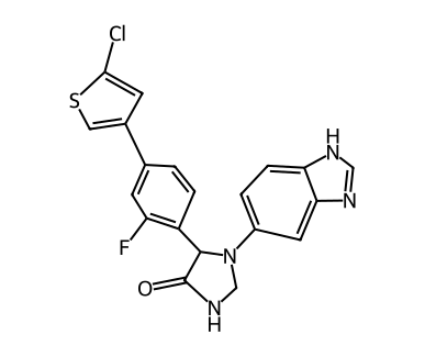 O=C1NCN(c2ccc3[nH]cnc3c2)C1c1ccc(-c2csc(Cl)c2)cc1F